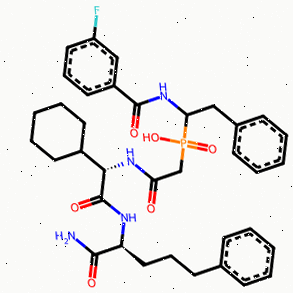 NC(=O)[C@H](CCCc1ccccc1)NC(=O)[C@@H](NC(=O)CP(=O)(O)C(Cc1ccccc1)NC(=O)c1cccc(F)c1)C1CCCCC1